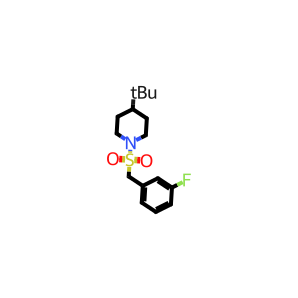 CC(C)(C)C1CCN(S(=O)(=O)Cc2cccc(F)c2)CC1